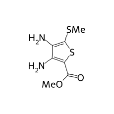 COC(=O)c1sc(SC)c(N)c1N